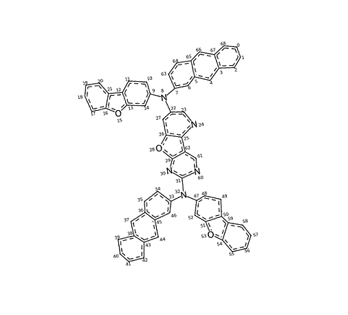 c1ccc2cc3cc(N(c4ccc5c(c4)oc4ccccc45)c4cnc5c(c4)oc4nc(N(c6ccc7cc8ccccc8cc7c6)c6ccc7c(c6)oc6ccccc67)ncc45)ccc3cc2c1